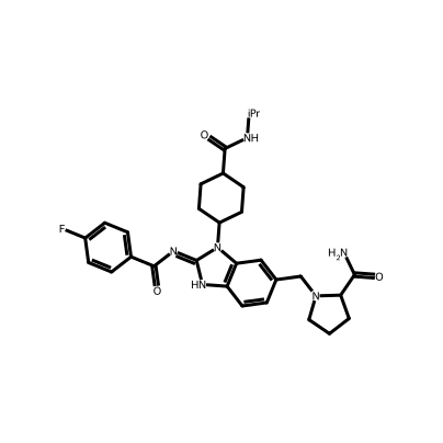 CC(C)NC(=O)C1CCC(n2c(=NC(=O)c3ccc(F)cc3)[nH]c3ccc(CN4CCCC4C(N)=O)cc32)CC1